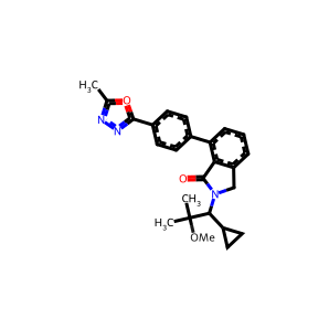 COC(C)(C)C(C1CC1)N1Cc2cccc(-c3ccc(-c4nnc(C)o4)cc3)c2C1=O